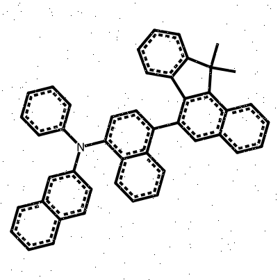 CC1(C)c2ccccc2-c2c(-c3ccc(N(c4ccccc4)c4ccc5ccccc5c4)c4ccccc34)cc3ccccc3c21